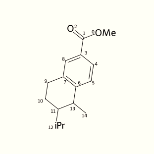 COC(=O)c1ccc2c(c1)CCC(C(C)C)C2C